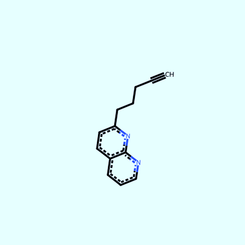 C#CCCCc1ccc2cccnc2n1